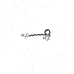 CCCCCCCCCCC1C=C=CCCC(CC)O1